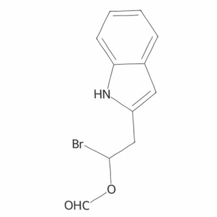 O=COC(Br)Cc1cc2ccccc2[nH]1